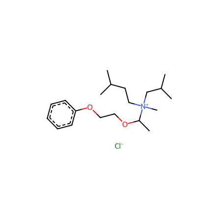 CC(C)CC[N+](C)(CC(C)C)C(C)OCCOc1ccccc1.[Cl-]